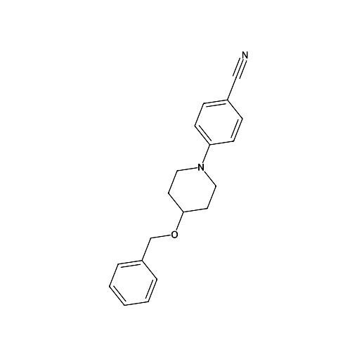 N#Cc1ccc(N2CCC(OCc3ccccc3)CC2)cc1